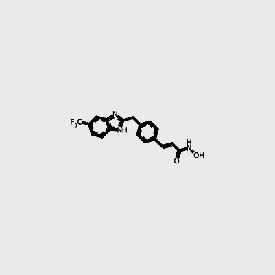 O=C(/C=C/c1ccc(Cc2nc3cc(C(F)(F)F)ccc3[nH]2)cc1)NO